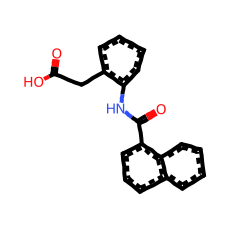 O=C(O)Cc1ccccc1NC(=O)c1cccc2ccccc12